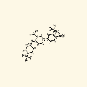 CC(C)C1CN(c2ccc(C#N)c(S(C)(=O)=O)c2)CCN1CC1CCC(C(F)(F)F)CC1